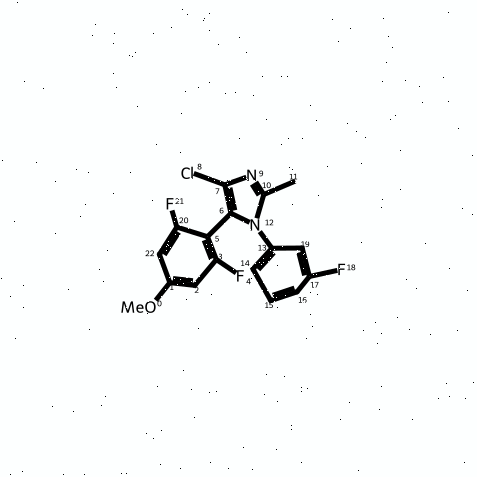 COc1cc(F)c(-c2c(Cl)nc(C)n2-c2cccc(F)c2)c(F)c1